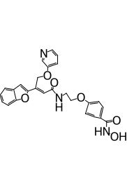 O=C(C=C(COc1cccnc1)c1cc2ccccc2o1)NCCOc1ccc(C(=O)NO)cc1